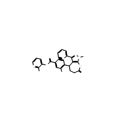 CCn1nc(-c2ccccn2)c2c1NC(=O)CCC2c1ccc(C(=O)Nc2cccnc2C)cc1C